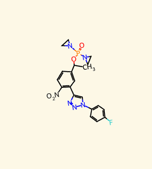 CC(OP(=O)(N1CC1)N1CC1)c1ccc([N+](=O)[O-])c(-c2cn(-c3ccc(F)cc3)nn2)c1